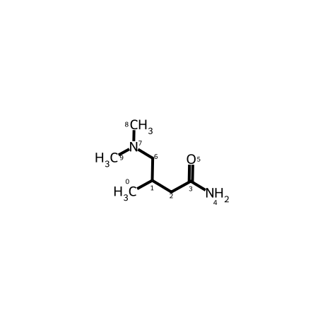 CC(CC(N)=O)CN(C)C